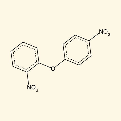 O=[N+]([O-])c1ccc(Oc2ccccc2[N+](=O)[O-])cc1